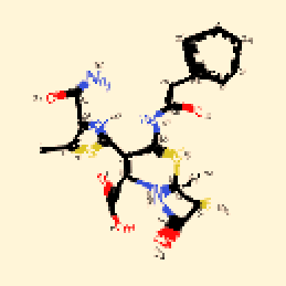 Cc1sc(C2=C(C(=O)O)N3C(=O)C(=S)[C@@H]3SC2NC(=O)Cc2ccccc2)nc1C(N)=O